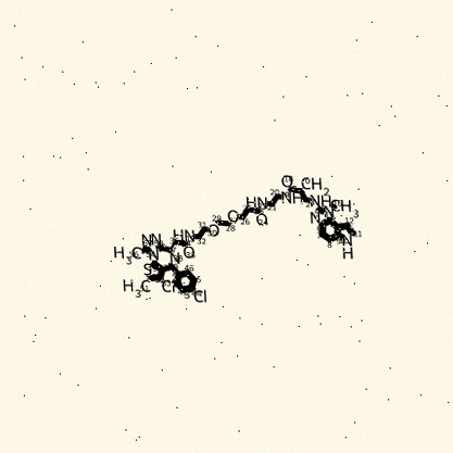 C=C(CNc1nc2ccc3[nH]ccc3c2n1C)C(=O)NCCNC(=O)CCOCCOCCNC(=O)C[C@H]1N=C(c2ccc(Cl)cc2)c2c(sc(C)c2C)-n2c(C)nnc21